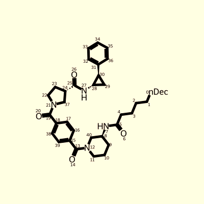 CCCCCCCCCCCCCCC(=O)N[C@H]1CCCN(C(=O)c2ccc(C(=O)N3CC[C@H](C(=O)N[C@H]4C[C@@H]4c4ccccc4)C3)cc2)C1